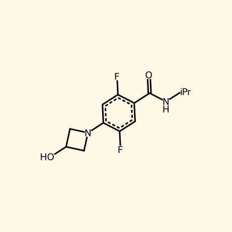 CC(C)NC(=O)c1cc(F)c(N2CC(O)C2)cc1F